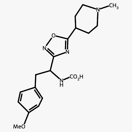 COc1ccc(CC(NC(=O)O)c2noc(C3CCN(C)CC3)n2)cc1